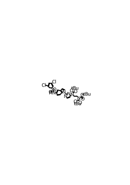 CC(C)(C)OC(=O)N(CCN(C(=O)OC(C)(C)C)c1ccnc(-n2ccc3cc(NS(=O)(=O)C4C=C(Cl)C=C(Cl)C4)ccc32)n1)C(=O)OC(C)(C)C